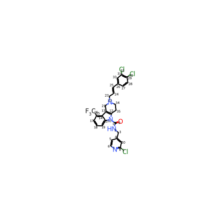 O=C(NCc1ccnc(Cl)c1)n1c2c(c3c(C(F)(F)F)cccc31)CN(C/C=C/c1ccc(Cl)c(Cl)c1)CC2